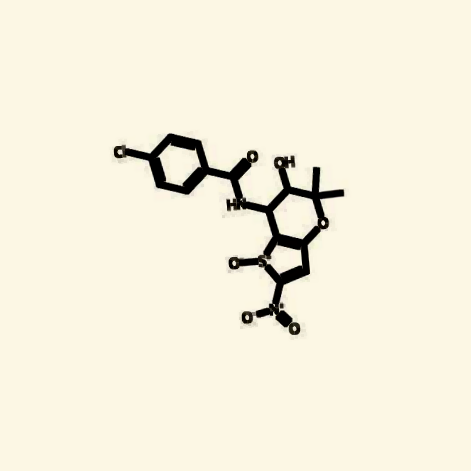 CC1(C)Oc2cc([N+](=O)[O-])[s+]([O-])c2C(NC(=O)c2ccc(Cl)cc2)C1O